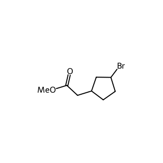 COC(=O)CC1CCC(Br)C1